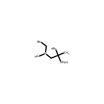 CCCCCC(C)(CCCC)CN(CCC)CC(C)(C)C